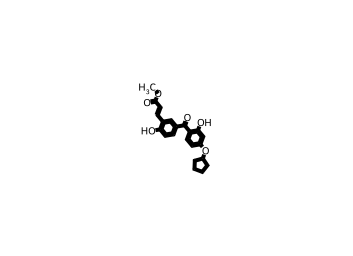 COC(=O)C=Cc1cc(C(=O)c2ccc(OC3CCCC3)cc2O)ccc1O